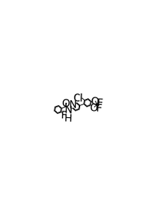 O=C(Nc1ccc(-c2cc3c(cc2Cl)OC(F)(F)O3)cn1)c1ccccc1F